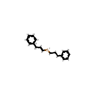 c1ccc(CCCSCCCc2ccccc2)cc1